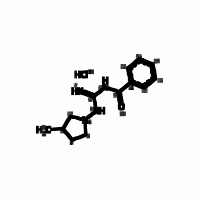 CC1CCN(NC(=N)NC(=O)c2ccccc2)C1.Cl